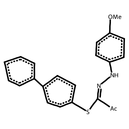 COc1ccc(N/N=C(/Sc2ccc(-c3ccccc3)cc2)C(C)=O)cc1